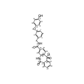 O=C(NCc1cccc(Oc2ccc(O)cc2)c1)c1ccc2c(c1)NC(=O)c1ccccc1S2(=O)=O